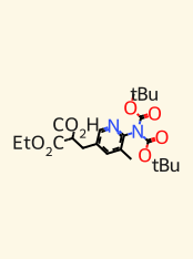 CCOC(=O)C(Cc1cnc(N(C(=O)OC(C)(C)C)C(=O)OC(C)(C)C)c(C)c1)C(=O)O